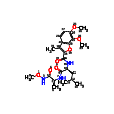 CONC(=O)[C@H](C)NC(=O)[C@H](CC(C)C)NC(=O)c1oc2c(OC)c(OC)ccc2c1C